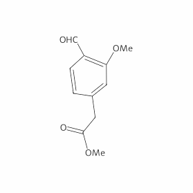 COC(=O)Cc1ccc(C=O)c(OC)c1